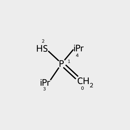 C=P(S)(C(C)C)C(C)C